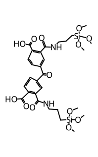 CO[Si](CCCNC(=O)c1cc(C(=O)c2ccc(C(=O)O)c(C(=O)NCCC[Si](OC)(OC)OC)c2)ccc1C(=O)O)(OC)OC